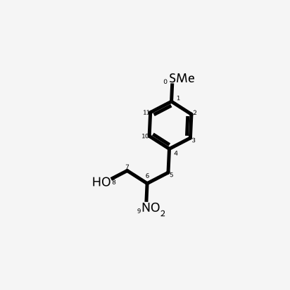 CSc1ccc(CC(CO)[N+](=O)[O-])cc1